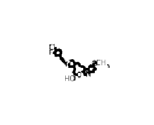 COc1ccc2nccc(CCCC3CCN(CC#Cc4ccc(Cl)c(F)c4)CC3CCC(=O)O)c2c1